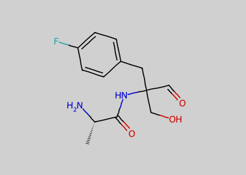 C[C@H](N)C(=O)NC(C=O)(CO)Cc1ccc(F)cc1